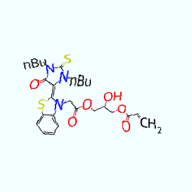 C=CC(=O)OCC(O)COC(=O)CN1/C(=C2/C(=O)N(CCCC)C(=S)N2CCCC)Sc2ccccc21